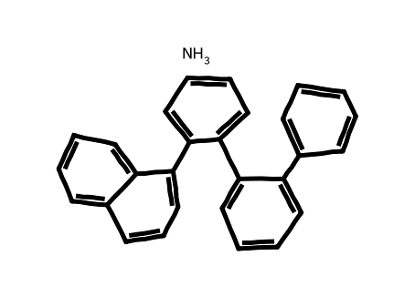 N.c1ccc(-c2ccccc2-c2ccccc2-c2cccc3ccccc23)cc1